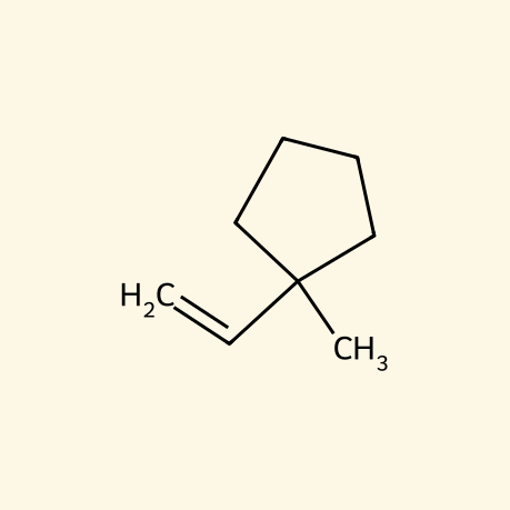 C=CC1(C)CCCC1